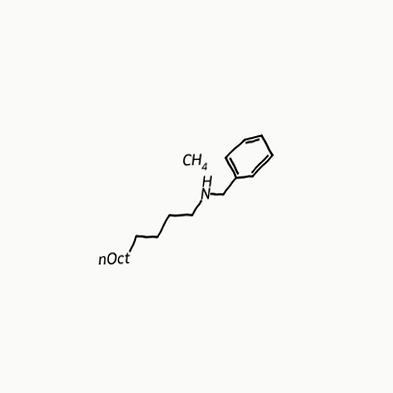 C.CCCCCCCCCCCCNCc1ccccc1